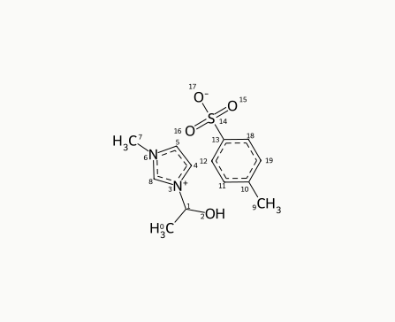 CC(O)[n+]1ccn(C)c1.Cc1ccc(S(=O)(=O)[O-])cc1